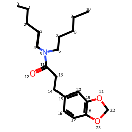 CCCCCN(CCCCC)C(=O)CCc1ccc2c(c1)OCO2